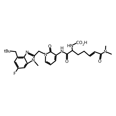 CN(C)C(=O)/C=C/CCC(NC(=O)O)C(=O)Nc1cccn(Cc2nc3c(CC(C)(C)C)cc(F)cc3n2C)c1=O